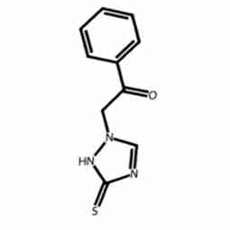 O=C(Cn1cnc(=S)[nH]1)c1ccccc1